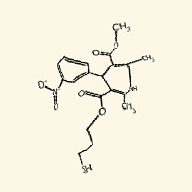 COC(=O)C1=C(C)NC(C)=C(C(=O)OCCCS)C1c1cccc([N+](=O)[O-])c1